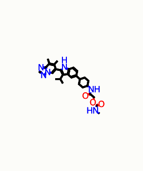 CNC(=O)OCC(=O)NC1CCC(c2ccc3[nH]c(-c4cn5ncnc5c(C)c4C)c(C(C)C)c3c2)CC1